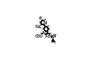 CC(C)(C)Cn1cc(CN[S+]([O-])C2CC2)c2ccc(-c3ncc(F)cc3C#N)cc21